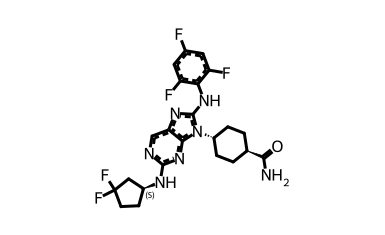 NC(=O)[C@H]1CC[C@H](n2c(Nc3c(F)cc(F)cc3F)nc3cnc(N[C@H]4CCC(F)(F)C4)nc32)CC1